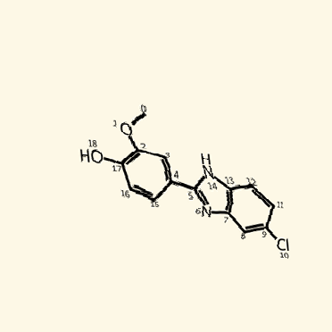 COc1cc(-c2nc3cc(Cl)ccc3[nH]2)ccc1O